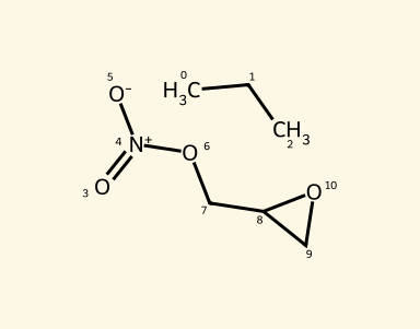 CCC.O=[N+]([O-])OCC1CO1